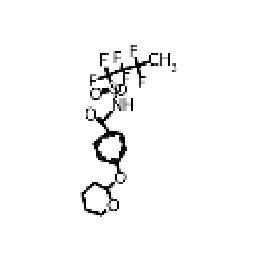 CC(F)(F)C(F)(F)C(F)(F)S(=O)(=O)NC(=O)c1ccc(OC2CCCCO2)cc1